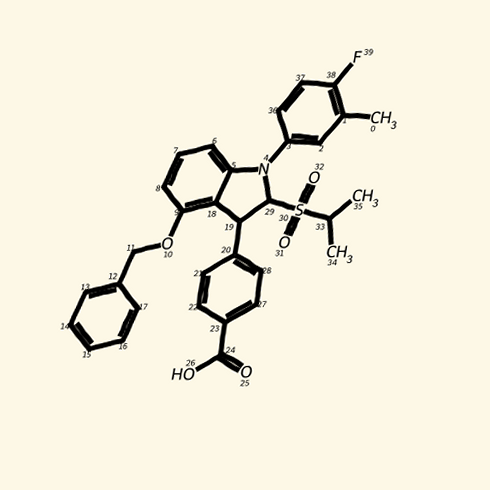 Cc1cc(N2c3cccc(OCc4ccccc4)c3C(c3ccc(C(=O)O)cc3)C2S(=O)(=O)C(C)C)ccc1F